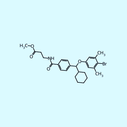 COC(=O)CCNC(=O)c1ccc(C(Oc2cc(C)c(Br)c(C)c2)C2CCCCC2)cc1